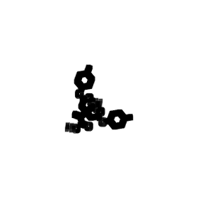 C=C(C(=O)O)C(CC(=O)OC1CCC(C)CC1)(CC(=O)OC1CCC(C)CC1)C(=O)O